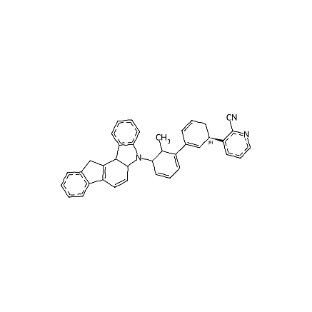 CC1C(C2=C[C@H](c3cccnc3C#N)CC=C2)=CC=CC1N1c2ccccc2C2C3=C(C=CC21)c1ccccc1C3